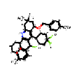 COc1ccc(COC2CC(C)(C)Cc3nc(C4CCCCC4)c(C(F)c4ccc(C)cc4)c(C4CCC(F)(F)CC4)c32)cc1